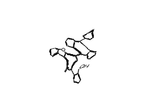 Cc1c(-c2ccccc2O)cc(-c2c3ccccc3c(-c3ccccc3)c3ccccc23)c2oc3ccccc3c12